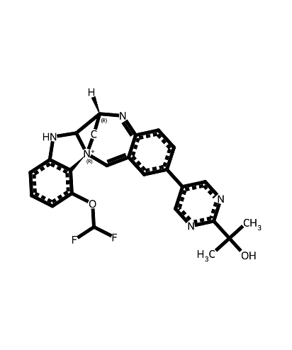 CC(C)(O)c1ncc(-c2ccc3c(c2)=C[N@@+]24C[C@@H](N=3)C2Nc2cccc(OC(F)F)c24)cn1